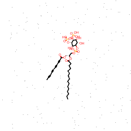 CC#CC#CC#CC#CC(=O)OC[C@H](COP(=O)(O)OC1C(O)[C@H](OP(=O)(O)O)[C@H](OP(=O)(O)O)C(O)[C@@H]1O)OC(=O)CCCCCCCCCCCCCCC